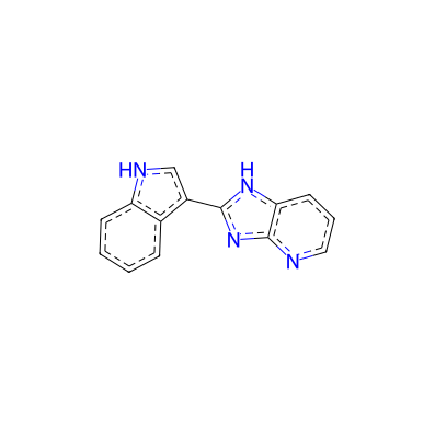 c1cnc2nc(-c3c[nH]c4ccccc34)[nH]c2c1